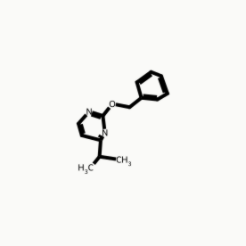 CC(C)c1ccnc(OCc2ccccc2)n1